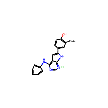 COc1cc(-c2cc3c(Nc4ccccc4)ncnc3[nH]2)ccc1O.Cl